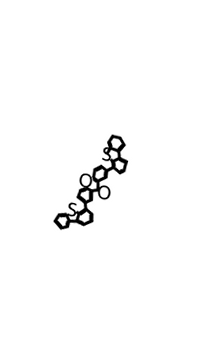 O=c1c2cc(-c3cccc4c5c(sc34)=CCCC=5)ccc2oc2ccc(-c3cccc4c3sc3ccccc34)cc12